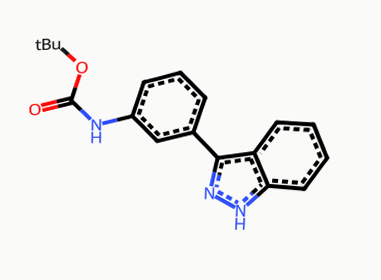 CC(C)(C)OC(=O)Nc1cccc(-c2n[nH]c3ccccc23)c1